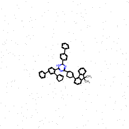 CC1(C)c2ccccc2-c2c(C3=CC=C(C4=NC(c5ccc(-c6ccccc6)cc5)NC(c5ccc(-c6ccccc6)cc5C5=CCCC=C5)=N4)CC3)cccc21